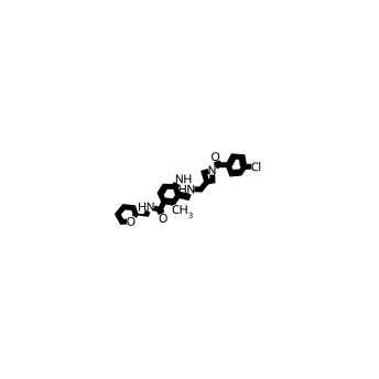 CC1=C(C(=O)NC[C@@H]2CCCCO2)C=CC(=N)/C1=C\NCC1CN(C(=O)c2ccc(Cl)cc2)C1